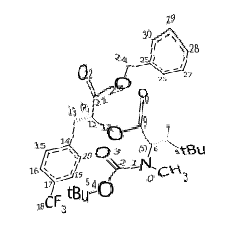 CN(C(=O)OC(C)(C)C)[C@@H](CC(C)(C)C)C(=O)O[C@H](Cc1ccc(C(F)(F)F)cc1)C(=O)OCc1ccccc1